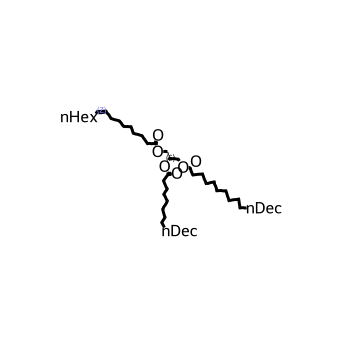 CCCCCC/C=C\CCCCCCCC(=O)OC[C@H](COC(=O)CCCCCCCCCCCCCCCCCCC)OC(=O)CCCCCCCCCCCCCCCCC